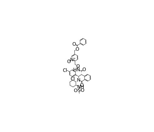 CS(=O)(=O)N[C@H]1CCCC[C@@H]1N1C(=O)c2ccccc2[C@@H](C(=O)NOCc2ccc(COC(=O)c3ccccc3)c[n+]2[O-])[C@@H]1c1ccc(Cl)cc1Cl